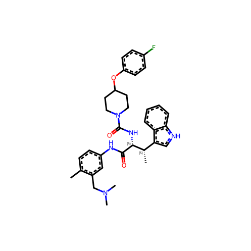 Cc1ccc(NC(=O)[C@H](NC(=O)N2CCC(Oc3ccc(F)cc3)CC2)[C@@H](C)c2c[nH]c3ccccc23)cc1CN(C)C